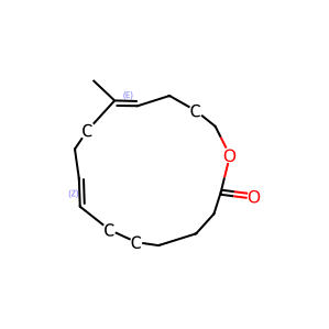 C/C1=C\CCCOC(=O)CCCCC/C=C\CC1